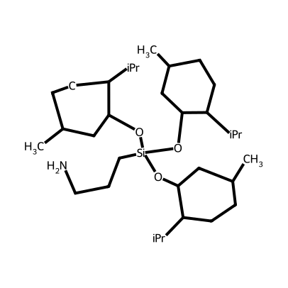 CC1CCC(C(C)C)C(O[Si](CCCN)(OC2CC(C)CCC2C(C)C)OC2CC(C)CCC2C(C)C)C1